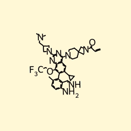 C=CC(=O)N1CC2(CCN(c3nc(N4CC(CN(C)C)C4)nc4c(OCC(F)(F)F)c(-c5c(C)ccc(N)c5C=N)c(C5CC5)cc34)CC2)C1